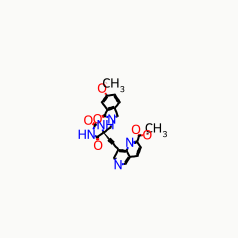 COC(=O)c1ccc2cncc(C#C[C@]3(CN4Cc5ccc(OC)cc5C4=O)NC(=O)NC3=O)c2n1